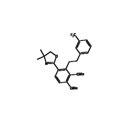 COc1ccc(C2=NC(C)(C)CO2)c(CCc2cccc(C(F)(F)F)c2)c1OC